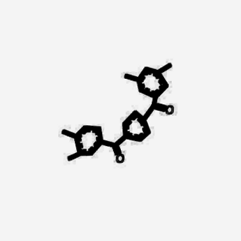 Cc1cc(C)cc(C(=O)c2ccc(C(=O)c3ccc(C)c(C)c3)cc2)c1